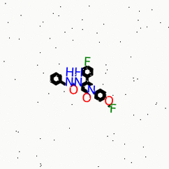 O=C(NCc1ccccc1)Nc1cc(=O)n(-c2ccc(OCF)cc2)cc1-c1ccc(F)cc1